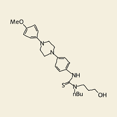 CCCCN(CCCO)C(=S)Nc1ccc(N2CCN(c3ccc(OC)cc3)CC2)cc1